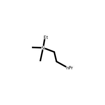 CCCCC[Si](C)(C)CC